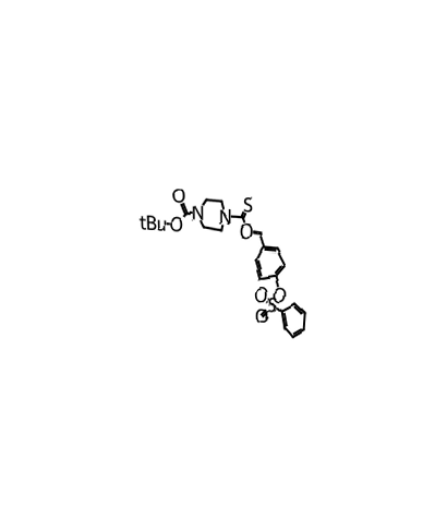 CC(C)(C)OC(=O)N1CCN(C(=S)OCc2ccc(OS(=O)(=O)c3ccccc3)cc2)CC1